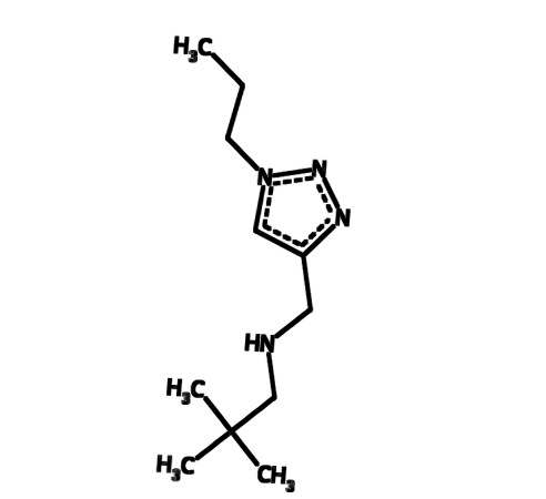 CCCn1cc(CNCC(C)(C)C)nn1